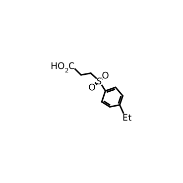 CCc1ccc(S(=O)(=O)CCC(=O)O)cc1